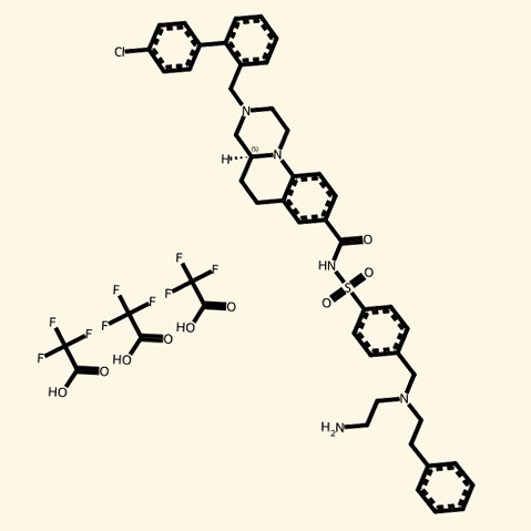 NCCN(CCc1ccccc1)Cc1ccc(S(=O)(=O)NC(=O)c2ccc3c(c2)CC[C@H]2CN(Cc4ccccc4-c4ccc(Cl)cc4)CCN32)cc1.O=C(O)C(F)(F)F.O=C(O)C(F)(F)F.O=C(O)C(F)(F)F